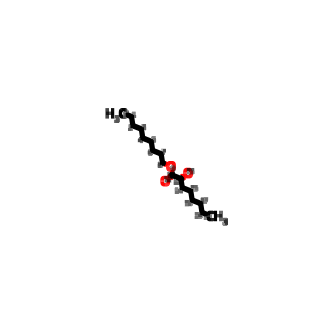 CCCCCCCCCOC(=O)C(=O)CCCCCC